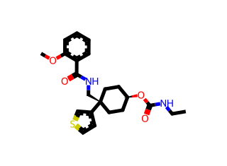 CCNC(=O)O[C@H]1CC[C@](CNC(=O)c2ccccc2OC)(c2ccsc2)CC1